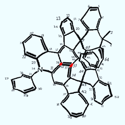 CC1(C)c2ccccc2C2(c3ccccc3-c3c(-c4ccccc4N(c4ccccc4)c4ccc5c(c4)-c4ccccc4C54c5ccccc5-c5ccccc54)cccc32)c2ccccc21